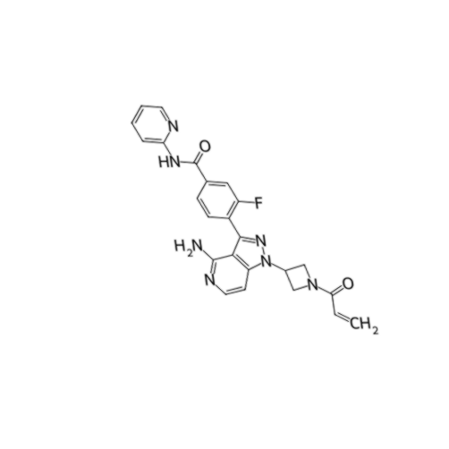 C=CC(=O)N1CC(n2nc(-c3ccc(C(=O)Nc4ccccn4)cc3F)c3c(N)nccc32)C1